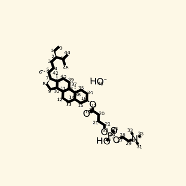 CC[C@H](CC[C@@H](C)[C@H]1CCC2C3CCC4C[C@@H](OC(=O)CCCOP(=O)(O)OCC[N+](C)(C)C)CC[C@]4(C)C3CC[C@@]21C)C(C)C.[OH-]